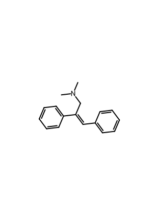 CN(C)CC(=Cc1ccccc1)c1ccccc1